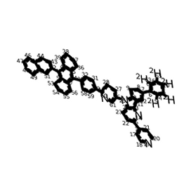 [2H]c1c([2H])c([2H])c(-c2ccc3c(c2)c2nc(-c4ccncc4)ccc2n3-c2ccc(-c3ccc(-c4c5ccccc5c(-c5ccc6ccccc6c5)c5ccccc45)cc3)nc2)c([2H])c1[2H]